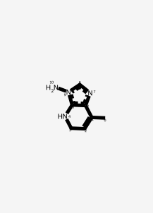 CC1=CCNc2c1ncn2N